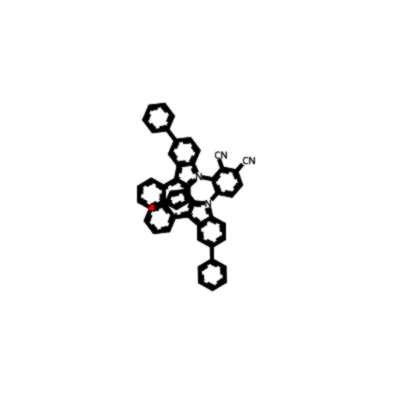 N#Cc1ccc(-n2c3ccc(-c4ccccc4)cc3c3c4ccccc4ccc32)c(-n2c3ccc(-c4ccccc4)cc3c3c4ccccc4ccc32)c1C#N